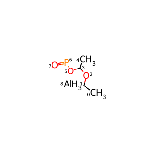 CCOC(C)OP=O.[AlH3]